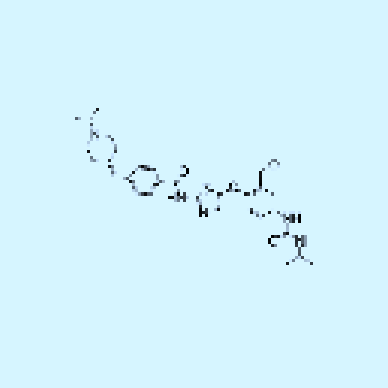 CCC(CC)NC(=O)Nc1ccc(Oc2cnc(NC(=O)c3ccc(C=C4CCN(C(C)C)CC4)cc3)s2)c(COC)c1